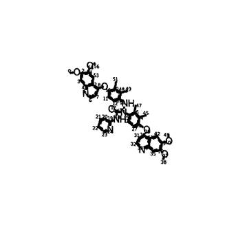 COc1cc2nccc(Oc3ccc(NN(C(=O)Nc4ccccn4)c4ccc(Oc5ccnc6cc(OC)c(OC)cc56)c(C)c4C)c(C)c3C)c2cc1OC